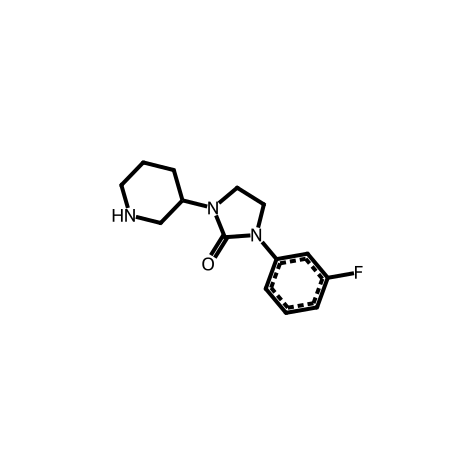 O=C1N(c2cccc(F)c2)CCN1C1CCCNC1